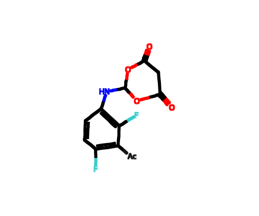 CC(=O)c1c(F)ccc(NC2OC(=O)CC(=O)O2)c1F